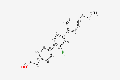 CCCc1ccc(-c2ccc(-c3ccc(CCO)cc3)c(F)c2)cc1